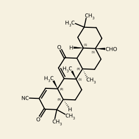 CC1(C)CC[C@]2(C=O)CC[C@]3(C)C(C(=O)C=C4[C@@]5(C)C=C(C#N)C(=O)C(C)(C)[C@@H]5CC[C@]43C)[C@@H]2C1